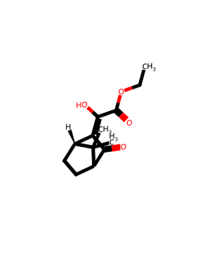 CCOC(=O)C(O)=C1C(=O)C2CC[C@H]1C2(C)C